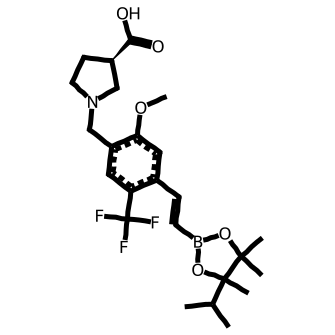 COc1cc(/C=C/B2OC(C)(C)C(C)(C(C)C)O2)c(C(F)(F)F)cc1CN1CC[C@@H](C(=O)O)C1